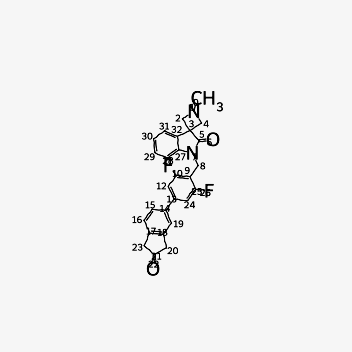 CN1CC2(C1)C(=O)N(Cc1c(F)cc(-c3ccc4c(c3)CC(=O)C4)cc1F)c1ccccc12